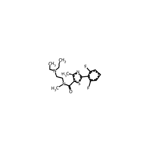 CCN(CC)CCN(C)C(=O)c1sc(-c2c(F)cccc2F)nc1C